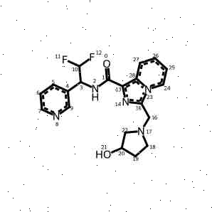 O=C(NC(c1cccnc1)C(F)F)c1nc(CN2CCC(O)C2)n2ccccc12